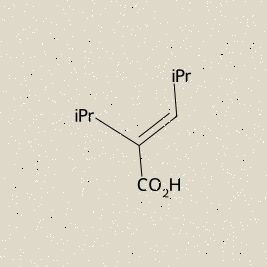 CC(C)C=C(C(=O)O)C(C)C